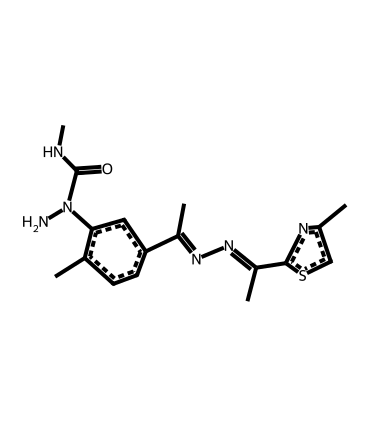 CNC(=O)N(N)c1cc(/C(C)=N/N=C(\C)c2nc(C)cs2)ccc1C